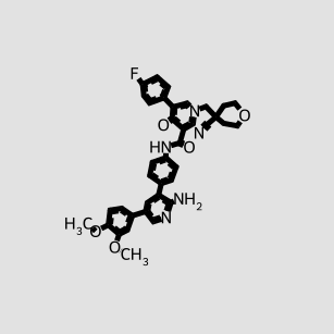 COc1ccc(-c2cnc(N)c(-c3ccc(NC(=O)c4cn(CC5(C#N)CCOCC5)cc(-c5ccc(F)cc5)c4=O)cc3)c2)cc1OC